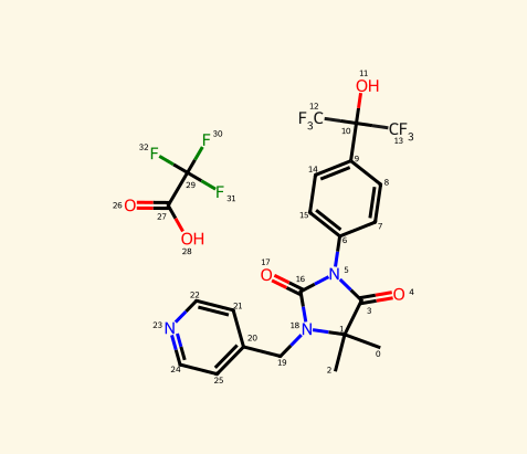 CC1(C)C(=O)N(c2ccc(C(O)(C(F)(F)F)C(F)(F)F)cc2)C(=O)N1Cc1ccncc1.O=C(O)C(F)(F)F